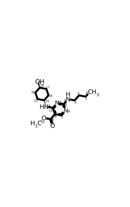 CCCCNc1ncc(C(=O)OC)c(N[C@H]2CC[C@H](O)CC2)n1